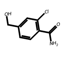 NC(=O)c1ccc(CO)cc1Cl